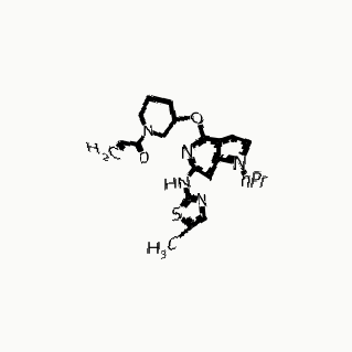 C=CC(=O)N1CCCC(Oc2nc(Nc3ncc(C)s3)cc3c2ccn3CCC)C1